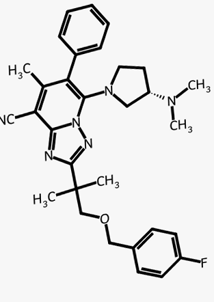 Cc1c(-c2ccccc2)c(N2CC[C@H](N(C)C)C2)n2nc(C(C)(C)COCc3ccc(F)cc3)nc2c1C#N